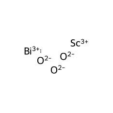 [Bi+3].[O-2].[O-2].[O-2].[Sc+3]